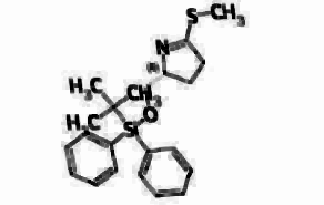 CSC1=N[C@@H](CO[Si](c2ccccc2)(c2ccccc2)C(C)(C)C)CC1